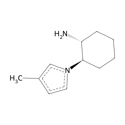 Cc1ccn([C@@H]2CCCC[C@H]2N)c1